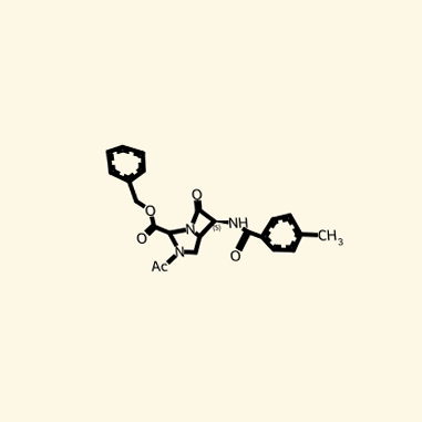 CC(=O)N1CC2[C@H](NC(=O)c3ccc(C)cc3)C(=O)N2C1C(=O)OCc1ccccc1